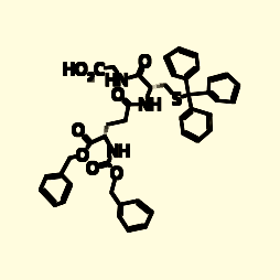 O=C(O)CNC(=O)[C@H](CSC(c1ccccc1)(c1ccccc1)c1ccccc1)NC(=O)CC[C@H](NC(=O)OCc1ccccc1)C(=O)OCc1ccccc1